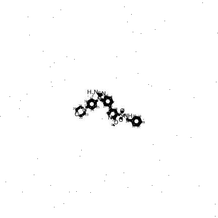 COc1ncc(-c2ccc3nc(N)n(-c4ccc(N5CCOCC5)cc4)c3c2)cc1S(=O)(=O)NCc1ccccc1